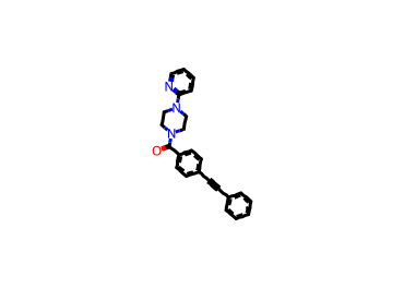 O=C(c1ccc(C#Cc2ccccc2)cc1)N1CCN(c2ccccn2)CC1